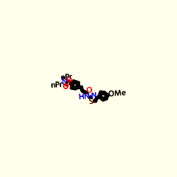 CCCN(CCC)S(=O)(=O)c1ccc(CCC(=O)NC2=NC(c3ccc(OC)cc3)CS2)cc1